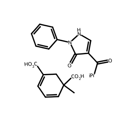 CC(C)C(=O)c1c[nH]n(-c2ccccc2)c1=O.CC1(C(=O)O)C=CC=C(C(=O)O)C1